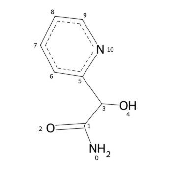 NC(=O)C(O)c1ccccn1